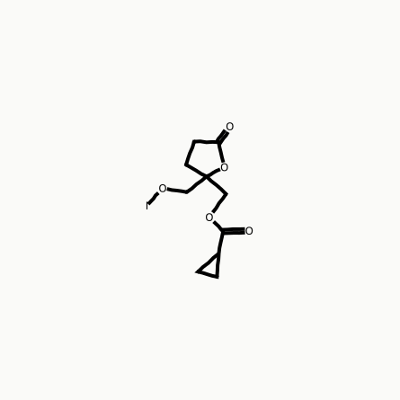 O=C1CCC(COI)(COC(=O)C2CC2)O1